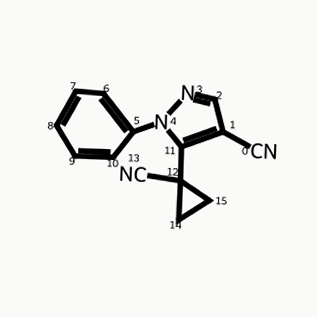 N#Cc1cnn(-c2ccccc2)c1C1(C#N)CC1